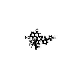 Cc1c(-c2cc[nH]n2)cccc1C(Nc1cc(Cl)c2ncc(C#N)c(NCC(C)(C)C)c2c1)c1cn(C2(C(F)(F)F)CC2)nn1